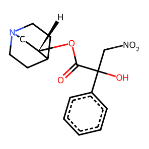 O=C(O[C@H]1CN2CCC1CC2)C(O)(C[N+](=O)[O-])c1ccccc1